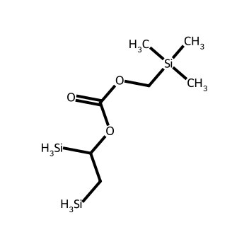 C[Si](C)(C)COC(=O)OC([SiH3])C[SiH3]